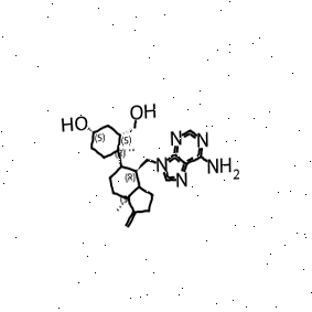 C=C1CCC2[C@H](Cn3cnc4c(N)ncnc43)C([C@@]3(C)CC[C@H](O)C[C@@H]3CO)CC[C@]12C